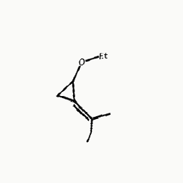 CCOC1CC1=C(C)C